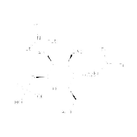 CC(=O)OC[C@H]1O[C@@H](OP(=O)(O)O)[C@@H](OC(C)=O)[C@@H](OC(C)=O)[C@@H]1OC(C)=O.CCN(CC)CC.CCN(CC)CC